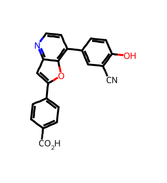 N#Cc1cc(-c2ccnc3cc(-c4ccc(C(=O)O)cc4)oc23)ccc1O